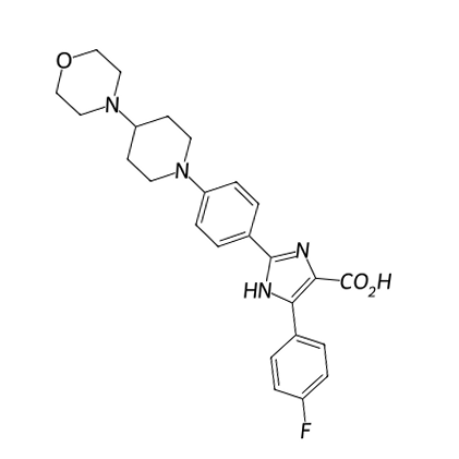 O=C(O)c1nc(-c2ccc(N3CCC(N4CCOCC4)CC3)cc2)[nH]c1-c1ccc(F)cc1